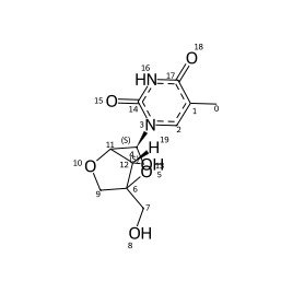 Cc1cn([C@H]2OC3(CO)COC2[C@@H]3O)c(=O)[nH]c1=O